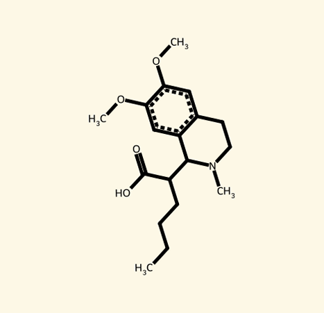 CCCCC(C(=O)O)C1c2cc(OC)c(OC)cc2CCN1C